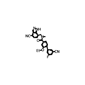 CCOc1cc(C(=O)N(C)Cc2ccc(C#N)c3cn[nH]c23)ccc1-c1cc(F)cc(C#N)c1